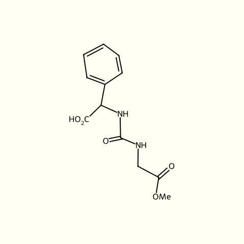 COC(=O)CNC(=O)NC(C(=O)O)c1ccccc1